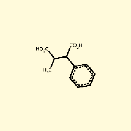 CC(C(=O)O)C(C(=O)O)c1ccccc1